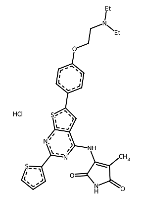 CCN(CC)CCOc1ccc(-c2cc3c(NC4=C(C)C(=O)NC4=O)nc(-c4cccs4)nc3s2)cc1.Cl